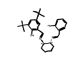 CC(C)(C)c1cc(C=N[C@@H]2CCCC[C@H]2N=Cc2ccccc2O)c(O)c(C(C)(C)C)c1